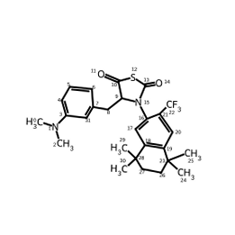 CN(C)c1cccc(CC2C(=O)SC(=O)N2c2cc3c(cc2C(F)(F)F)C(C)(C)CCC3(C)C)c1